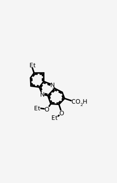 CCOc1c(C(=O)O)cc2nc3cc(CC)ccc3nc2c1OCC